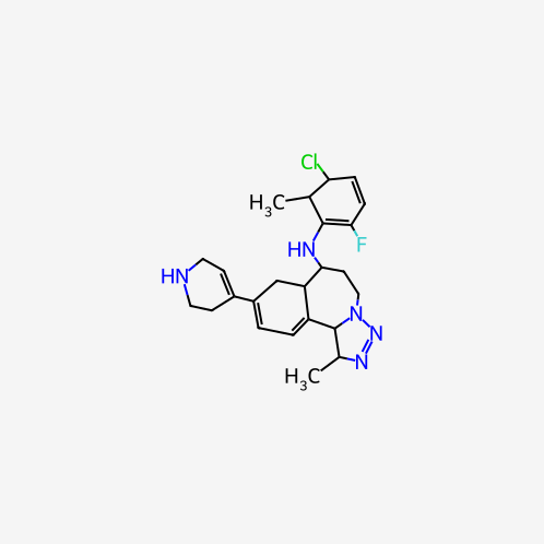 CC1N=NN2CCC(NC3=C(F)C=CC(Cl)C3C)C3CC(C4=CCNCC4)=CC=C3C12